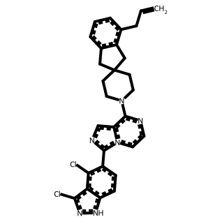 C=CCc1cccc2c1CC1(CCN(c3nccn4c(-c5ccc6[nH]nc(Cl)c6c5Cl)ncc34)CC1)C2